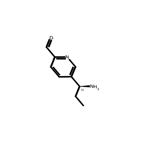 CC[C@H](N)c1ccc(C=O)nc1